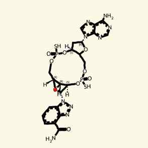 NC(=O)c1cccc2c1nnn2[C@@H]1O[C@@H]2COP(=O)(S)O[C@H]3C[C@H](n4cnc5c(N)ncnc54)OC3COP(=O)(S)O[C@@H]1[C@@H]2F